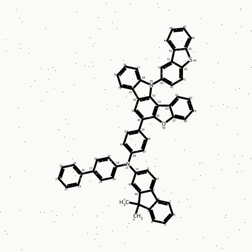 CC1(C)c2ccccc2-c2ccc(N(c3ccc(-c4ccccc4)cc3)c3ccc(-c4cc5c6ccccc6n(-c6ccc7sc8ccccc8c7c6)c5c5c4oc4ccccc45)cc3)cc21